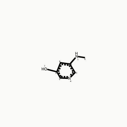 CNc1cncc(O)c1